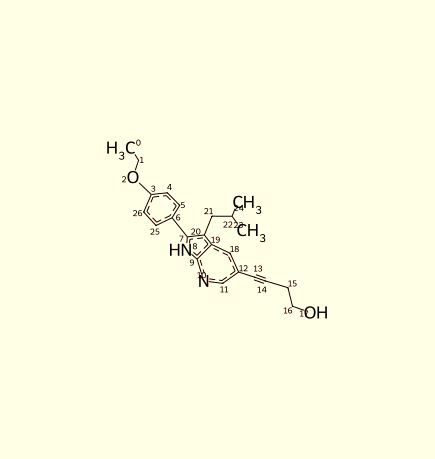 CCOc1ccc(-c2[nH]c3ncc(C#CCCO)cc3c2CC(C)C)cc1